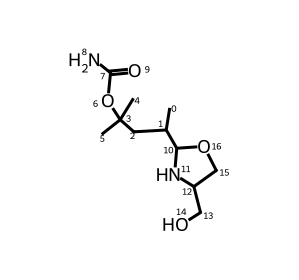 CC(CC(C)(C)OC(N)=O)C1NC(CO)CO1